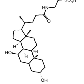 C[C@@H](CCC(=O)NCCS(=O)(=O)O)[C@H]1CC[C@@H]2[C@@H]3[C@H](O)CC4C[C@@H](O)CC[C@@]4(C)[C@@H]3CC[C@]21C